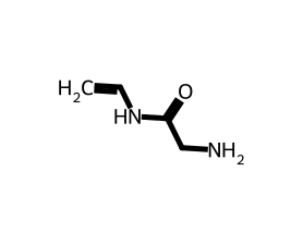 C=CNC(=O)CN